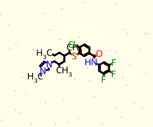 CCCC(CC(C)CN1C=CN(C)C1)C(C)Sc1cc(C(=O)Nc2cc(F)c(F)c(F)c2)ccc1Cl